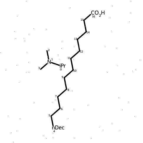 CC(C)N(C)C.CCCCCCCCCCCCCCCCCCCCCC(=O)O